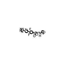 Cn1nnc(-c2ccc(-c3c(F)cc(N4C[C@H](CNc5ccon5)OC4=O)cc3F)cn2)n1